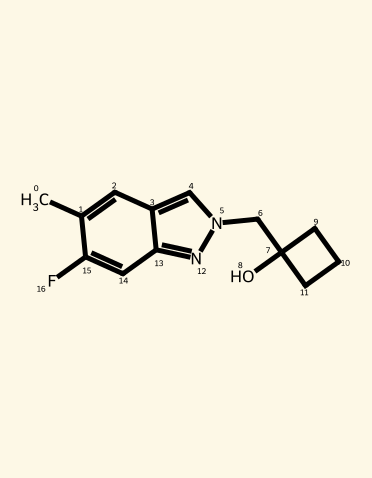 Cc1cc2cn(CC3(O)CCC3)nc2cc1F